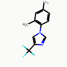 Cc1ccc(-n2cnc(C(F)(F)F)c2)c(C)c1